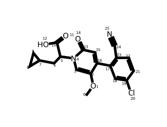 COc1cn(C(CC2CC2)C(=O)O)c(=O)cc1-c1cc(Cl)ccc1C#N